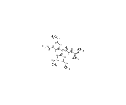 CC=C(C)[SiH2]C[SiH2]C(N(CCCC)CCCC)N(CCCC)CCCC